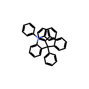 c1ccc(N(c2ccccc2)c2ccccc2C2(c3ccccc3)c3ccccc3-c3ccccc32)cc1